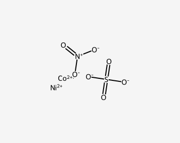 O=S(=O)([O-])[O-].O=[N+]([O-])[O-].[Co+2].[Ni+2]